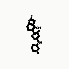 Cc1cc(NC2CCCN(C)C2)nnc1-c1ccc2sc(F)cc2c1O